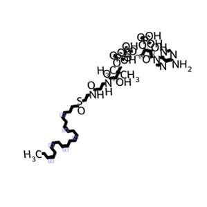 CC/C=C\C/C=C\C/C=C\C/C=C\C/C=C\C/C=C\CCC(=O)SCCNC(=O)CCNC(=O)[C@H](O)C(C)(C)COP(=O)(O)OP(=O)(O)OC[C@H]1O[C@@H](n2cnc3c(N)ncnc32)[C@H](O)[C@@H]1OP(=O)(O)O